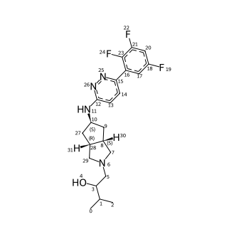 CC(C)C(O)CN1C[C@H]2C[C@H](Nc3ccc(-c4cc(F)cc(F)c4F)nn3)C[C@H]2C1